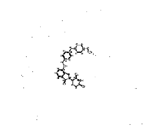 O=C1CCC(N2Cc3c(OCc4ccc(CN5CCN(CC(F)(F)F)CC5)cc4)cccc3C2=O)C(=O)N1